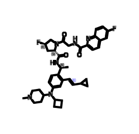 C[C@H](NC(=O)[C@@H]1C[C@@H](F)CN1C(=O)CNC(=O)c1ccc2cc(F)ccc2n1)c1ccc(N(C2CCC2)C2CCN(C)CC2)cc1/C=C/C1CC1